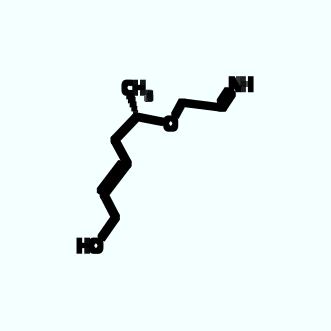 C[C@@H](C/C=C/CO)OCC=N